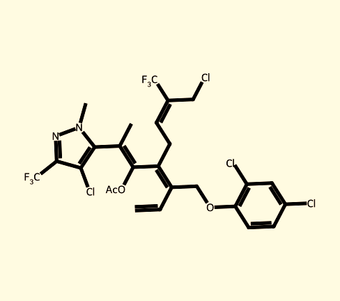 C=C/C(COc1ccc(Cl)cc1Cl)=C(/C/C=C(\CCl)C(F)(F)F)C(OC(C)=O)=C(C)c1c(Cl)c(C(F)(F)F)nn1C